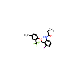 CCC(=O)Nc1cccc(I)c1COc1ccc(C)cc1C(F)(F)F